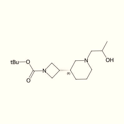 CC(O)CN1CCC[C@H](C2CN(C(=O)OC(C)(C)C)C2)C1